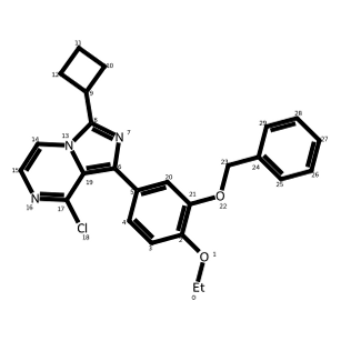 CCOc1ccc(-c2nc(C3CCC3)n3ccnc(Cl)c23)cc1OCc1ccccc1